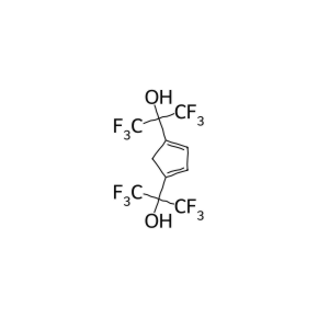 OC(C1=CC=C(C(O)(C(F)(F)F)C(F)(F)F)C1)(C(F)(F)F)C(F)(F)F